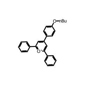 CCCCOc1ccc(-c2cc(-c3ccccc3)[o+]c(-c3ccccc3)c2)cc1